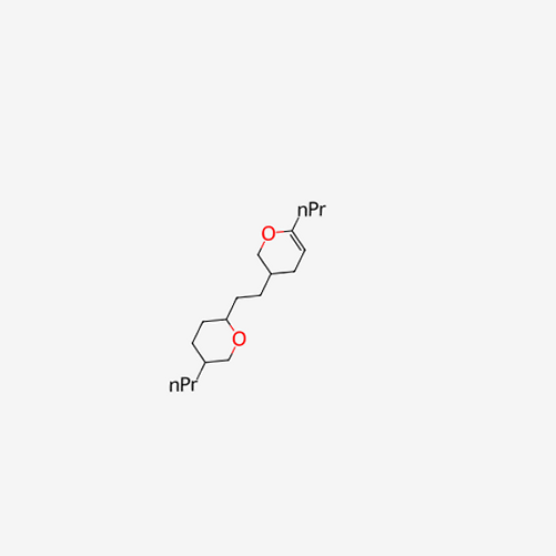 CCCC1=CCC(CCC2CCC(CCC)CO2)CO1